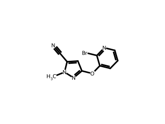 Cn1nc(Oc2cccnc2Br)cc1C#N